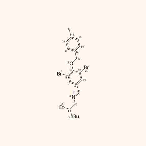 CCCCC(CC)C/N=C/c1cc(Br)c(OCc2ccc(C)cc2)c(Br)c1